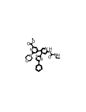 CCNC(=O)Nc1cc(-c2nc(-c3ccccc3)cs2)c(-c2cc(C(=O)OC)nc(N3CCOCC3)c2)cn1